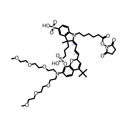 COCCOCCOCCN(CCOCCOCCOC)c1ccc2c(c1)OC(/C=C/C=C1/N(CCCCCC(=O)ON3C(=O)CCC3=O)c3ccc(S(=O)(=O)O)cc3C1(C)CCCS(=O)(=O)O)C=C2C(C)(C)C